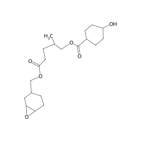 CC(CCC(=O)OCC1CCC2OC2C1)COC(=O)C1CCC(O)CC1